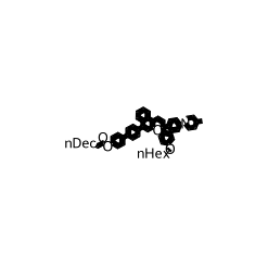 CCCCCCCCCCCC(=O)Oc1ccc(-c2ccc(-c3cc4c(c5ccccc35)C=CC(c3ccc(OCCCCCC)cc3)(c3ccc(N5CCC(C)CC5)cc3)O4)cc2)cc1